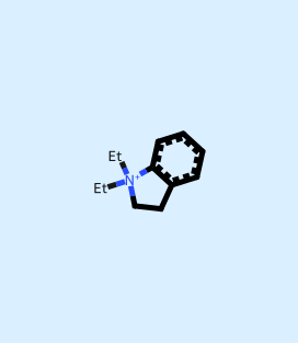 CC[N+]1(CC)CCc2ccccc21